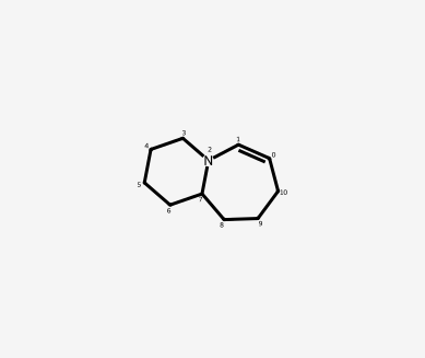 C1=CN2CCCCC2CCC1